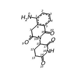 Nc1cccc2c1CC(=O)N(C1CCC(=O)NC1=O)C2=O